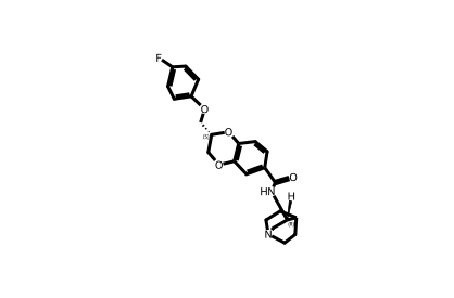 O=C(N[C@H]1CN2CCC1CC2)c1ccc2c(c1)OC[C@H](COc1ccc(F)cc1)O2